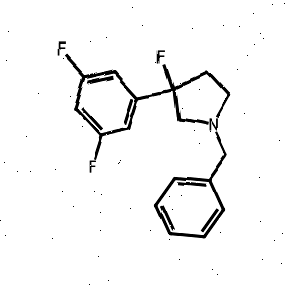 Fc1cc(F)cc(C2(F)CCN(Cc3ccccc3)C2)c1